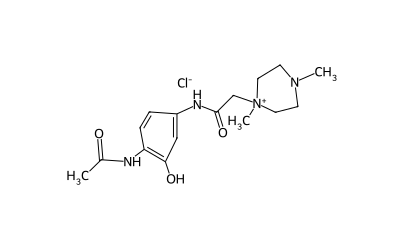 CC(=O)Nc1ccc(NC(=O)C[N+]2(C)CCN(C)CC2)cc1O.[Cl-]